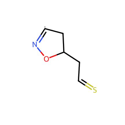 S=CCC1C[C]=NO1